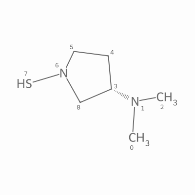 CN(C)[C@H]1CCN(S)C1